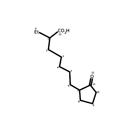 CCC(CCCCCC1CCCC1=O)C(=O)O